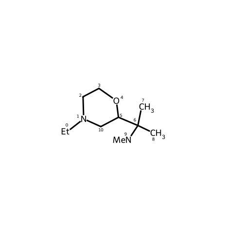 CCN1CCOC(C(C)(C)NC)C1